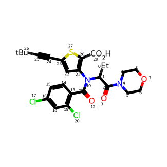 CCC(C(=O)N1CCOCC1)N(C(=O)c1ccc(Cl)cc1Cl)c1cc(C#CC(C)(C)C)sc1C(=O)O